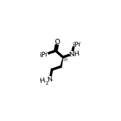 CC(C)N[C@@H](CCN)C(=O)C(C)C